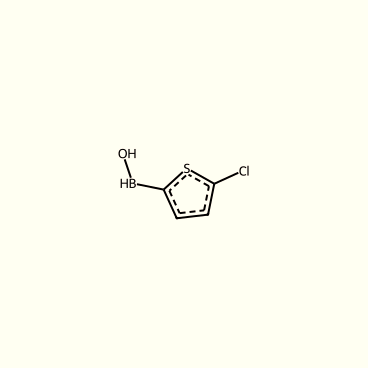 OBc1ccc(Cl)s1